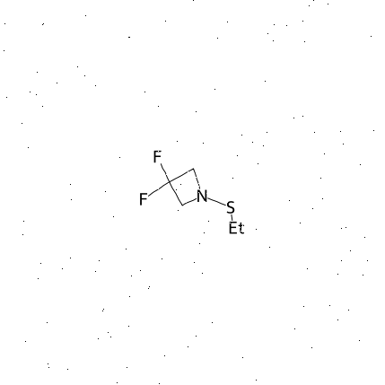 CCSN1CC(F)(F)C1